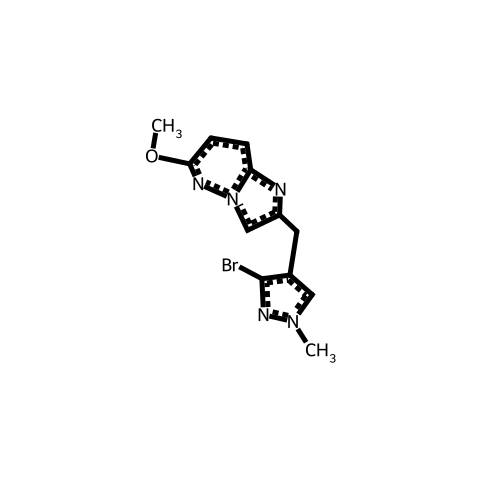 COc1ccc2nc(Cc3cn(C)nc3Br)cn2n1